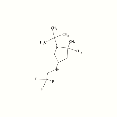 CC(C)(C)N1CC(NCC(F)(F)F)CC1(C)C